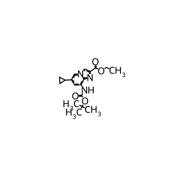 CCOC(=O)c1cn2cc(C3CC3)cc(NC(=O)OC(C)(C)C)c2n1